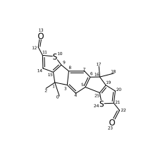 CC1(C)c2cc3c(cc2-c2sc(C=O)cc21)C(C)(C)c1cc(C=O)sc1-3